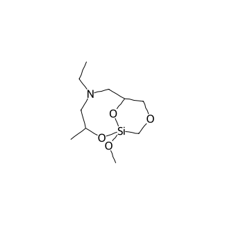 CCN1CC(C)O[Si]2(OC)COCC(C1)O2